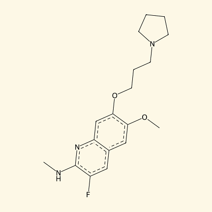 CNc1nc2cc(OCCCN3CCCC3)c(OC)cc2cc1F